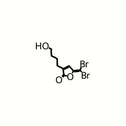 O=C1OC(=C(Br)Br)C=C1CCCCO